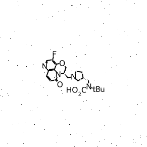 CC(C)(C)N(C[C@H]1CCN(C[C@@H]2COc3c(F)cnc4ccc(=O)n2c34)C1)C(=O)O